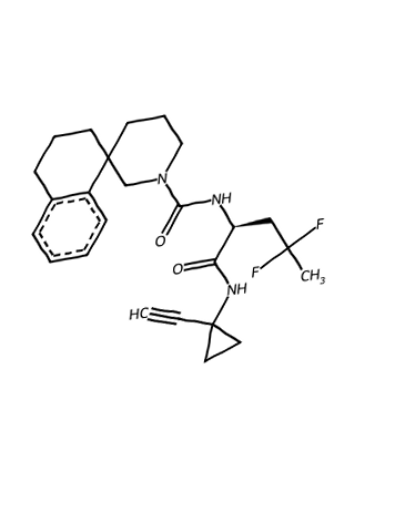 C#CC1(NC(=O)[C@H](CC(C)(F)F)NC(=O)N2CCCC3(CCCc4ccccc43)C2)CC1